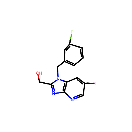 OCc1nc2ncc(I)cc2n1Cc1cccc(F)c1